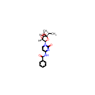 CC[C@]12O[C@@H](n3ccc(NC(=O)c4ccccc4)nc3=O)[C@H](O[C@H]1C)[C@@H]2O